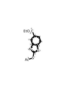 CCOC(=O)c1ccc2sc(SC(C)=O)nc2c1